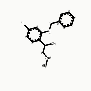 CC(C)(C)NCC(O)c1ccc(F)cc1OCc1ccccc1